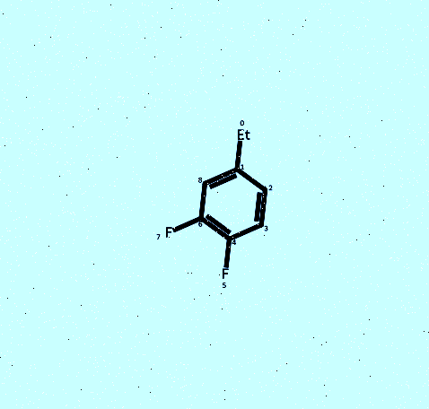 CCc1[c]cc(F)c(F)c1